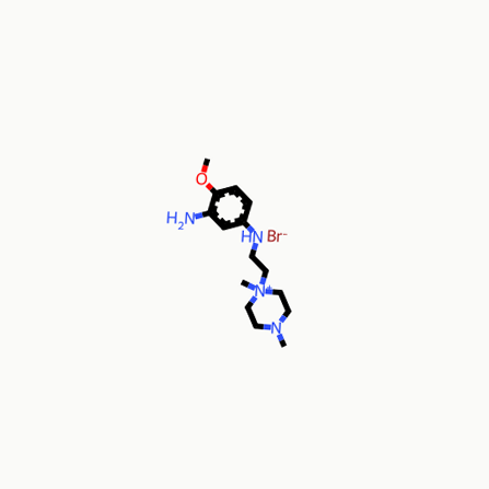 COc1ccc(NCC[N+]2(C)CCN(C)CC2)cc1N.[Br-]